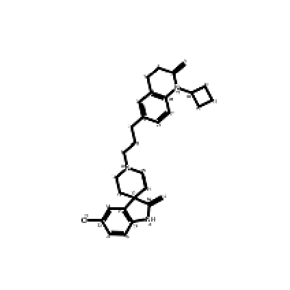 C=C1CCc2cc(CCCN3CCC4(CC3)C(=C)Nc3ccc(Cl)cc34)ccc2N1C1CCC1